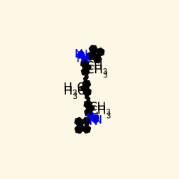 CC1(C)c2cc(/C=C/c3ccc4c(c3)C(C)(C)c3cc(N(c5ccc([Si](c6ccccc6)(c6ccccc6)c6ccccc6)cc5)c5ncncn5)ccc3-4)ccc2-c2ccc(/C=C/c3ccc4c(c3)C(C)(C)c3cc(N(c5ccc([Si](c6ccccc6)(c6ccccc6)c6ccccc6)cc5)c5ncncn5)ccc3-4)cc21